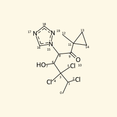 CC(Cl)C(Cl)(Cl)C(O)C(C(=O)C1(C)CC1)n1cncn1